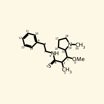 COC(C(C)C(=S)NCCc1ccccc1)C1CCCN1C